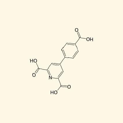 O=C(O)c1ccc(-c2cc(C(=O)O)nc(C(=O)O)c2)cc1